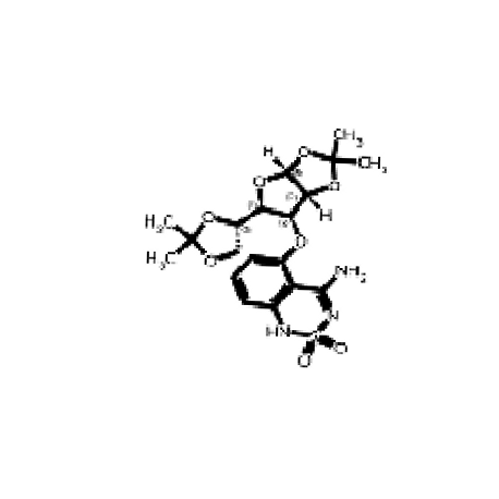 CC1(C)O[C@H]2O[C@H]([C@@H]3COC(C)(C)O3)[C@H](Oc3cccc4c3C(N)=NS(=O)(=O)N4)[C@H]2O1